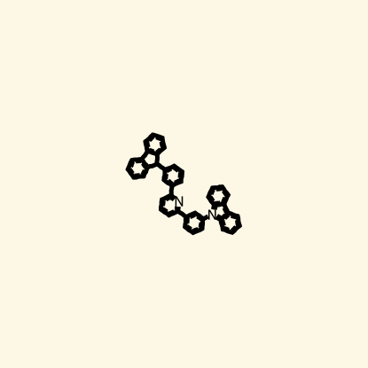 c1cc(-c2cccc(-c3cccc(-n4c5ccccc5c5ccccc54)c3)n2)cc(C2c3ccccc3-c3ccccc32)c1